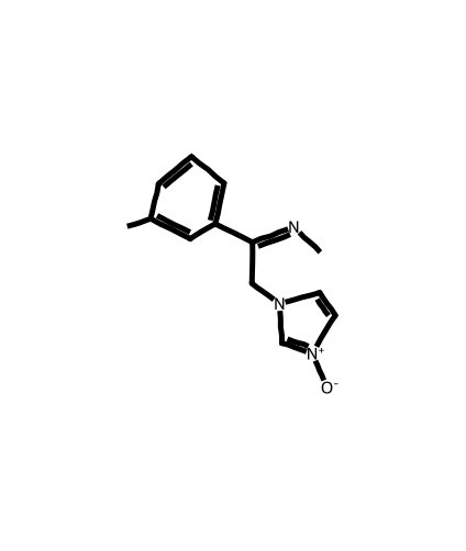 CN=C(Cn1cc[n+]([O-])c1)c1cccc(C)c1